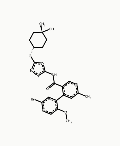 COc1cnc(Br)cc1-c1cc(C)ncc1C(=O)Nc1nnc(O[C@H]2CC[C@@](C)(O)CC2)s1